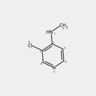 CNc1ccn[c]c1Cl